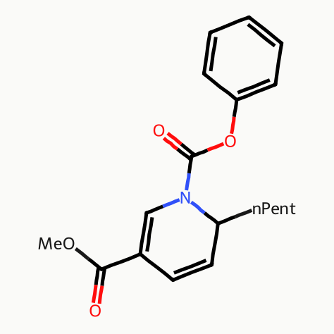 CCCCCC1C=CC(C(=O)OC)=CN1C(=O)Oc1ccccc1